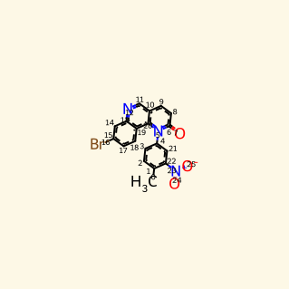 Cc1ccc(-n2c(=O)ccc3cnc4cc(Br)ccc4c32)cc1[N+](=O)[O-]